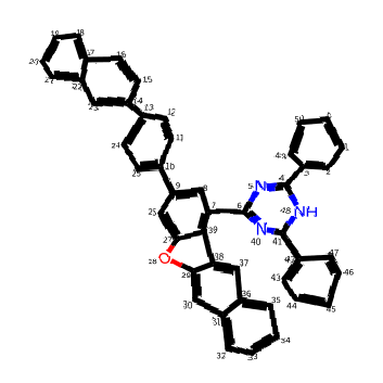 c1ccc(C2=NC(c3cc(-c4ccc(-c5ccc6ccccc6c5)cc4)cc4oc5cc6ccccc6cc5c34)=NC(c3ccccc3)N2)cc1